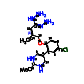 COC1NC=C(c2cc(Cl)ccc2OC/C(C)=C\C(=NN)NN)CN1